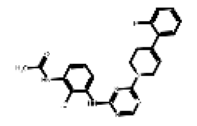 CC(=O)Nc1cccc(Nc2ncnc(N3CC=C(c4ccccc4F)CC3)n2)c1C